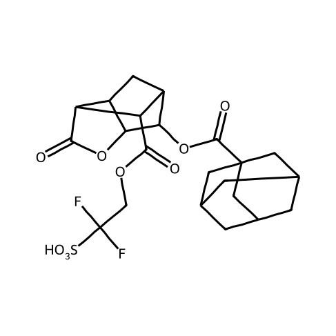 O=C1OC2C3CC(C2OC(=O)C24CC5CC(CC(C5)C2)C4)C(C(=O)OCC(F)(F)S(=O)(=O)O)C13